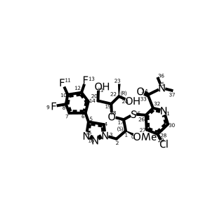 CO[C@@H](Cn1cc(-c2cc(F)c(F)c(F)c2)nn1)C(OC(CO)[C@@H](C)O)Sc1cc(Cl)cnc1C(=O)N(C)C